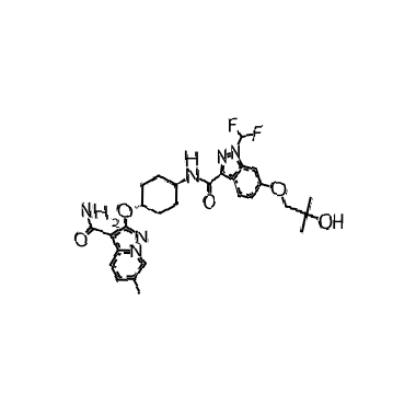 Cc1ccc2c(C(N)=O)c(O[C@H]3CC[C@H](NC(=O)c4nn(C(F)F)c5cc(OCC(C)(C)O)ccc45)CC3)nn2c1